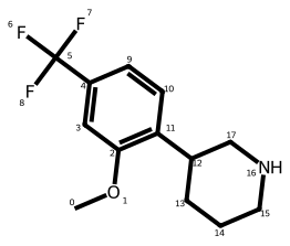 COc1cc(C(F)(F)F)ccc1C1CCCNC1